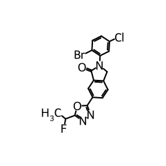 CC(F)c1nnc(-c2ccc3c(c2)C(=O)N(c2cc(Cl)ccc2Br)C3)o1